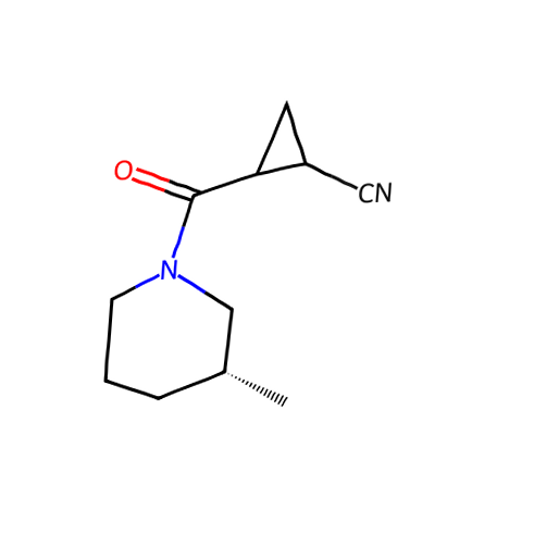 C[C@@H]1CCCN(C(=O)C2CC2C#N)C1